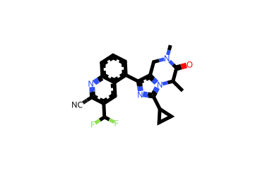 CC1C(=O)N(C)Cc2c(-c3cccc4nc(C#N)c(C(F)F)cc34)nc(C3CC3)n21